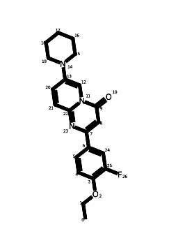 CCOc1ccc(-c2cc(=O)n3cc(N4CCCCC4)ccc3n2)cc1F